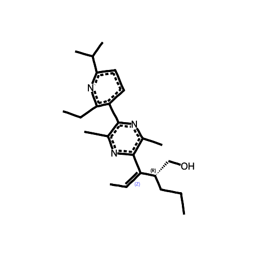 C/C=C(\c1nc(C)c(-c2ccc(C(C)C)nc2CC)nc1C)[C@H](CO)CCC